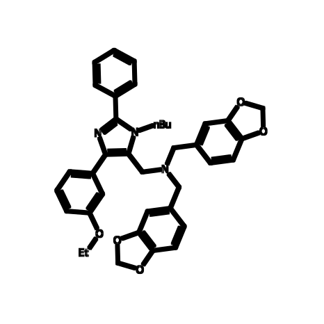 CCCCn1c(-c2ccccc2)nc(-c2cccc(OCC)c2)c1CN(Cc1ccc2c(c1)OCO2)Cc1ccc2c(c1)OCO2